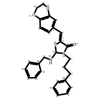 O=C1/C(=C/c2ccc3c(c2)OCCO3)SC(NCc2ccccc2)N1CCCc1ccccc1